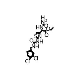 CCOC(=O)C(NC(N)=O)c1csc(NC(=O)NCc2ccc(Cl)c(Cl)c2)n1